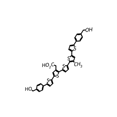 Cc1cc(-c2ccc(-c3ccc(CO)cc3)s2)sc1-c1ccc(-c2sc(-c3ccc(-c4ccc(CO)cc4)s3)cc2CC(=O)O)s1